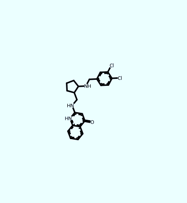 O=c1cc(NCC2CCCC2NCc2ccc(Cl)c(Cl)c2)[nH]c2ccccc12